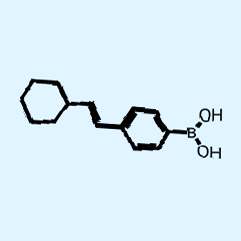 OB(O)c1ccc(C=CC2CCCCC2)cc1